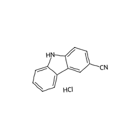 Cl.N#Cc1ccc2[nH]c3ccccc3c2c1